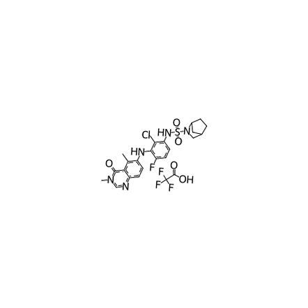 Cc1c(Nc2c(F)ccc(NS(=O)(=O)N3CC4CCC3C4)c2Cl)ccc2ncn(C)c(=O)c12.O=C(O)C(F)(F)F